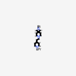 CCCN1CCC(CCN2CCC3(CC2)CN(CC)C3)CC1